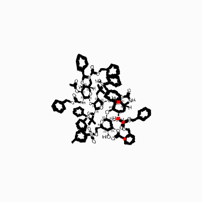 CC(=O)O[C@@H]1[C@H](O)[C@@H](COS(=O)(=O)c2ccc(C)cc2)O[C@H](O[C@H]2[C@H](O[C@@H]3O[C@H](CO[Si](c4ccccc4)(c4ccccc4)C(C)(C)C)[C@@H](O[C@H]4O[C@H]5CN(C(=O)OCc6ccccc6)C(c6ccccc6)O[C@H]5[C@H](OC(C)=O)[C@H]4NC(=O)OCc4ccccc4)[C@H]3CC(C)(C)[Si](O)(c3ccccc3)c3ccccc3)[C@H]3OC(=O)N[C@@H]3C[C@@H]2NC(=O)OCc2ccccc2)[C@@H]1NC(=O)OCc1ccccc1